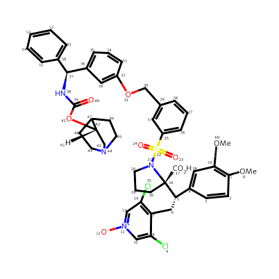 COc1ccc([C@H](Cc2c(Cl)c[n+]([O-])cc2Cl)[C@]2(C(=O)O)CCCN2S(=O)(=O)c2cccc(COc3cccc([C@@H](NC(=O)O[C@H]4CN5CCC4CC5)c4ccccc4)c3)c2)cc1OC